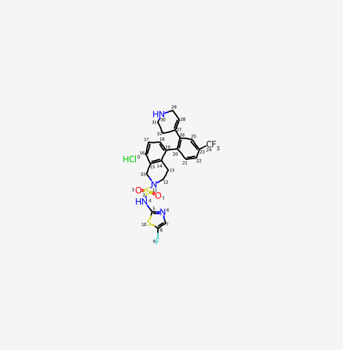 Cl.O=S(=O)(Nc1ncc(F)s1)N1CCc2c(cccc2-c2ccc(C(F)(F)F)cc2C2=CCNCC2)C1